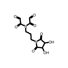 O=CC(=O)N(CCCN1C(=O)C(O)C(O)C1=O)C(=O)C=O